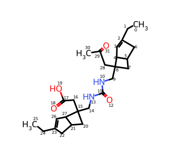 CCC1=CC2C(C1)CC2(CNC(=O)NCC1(CC(=O)O)CC2CC(CC)=CC21)CC(C)=O